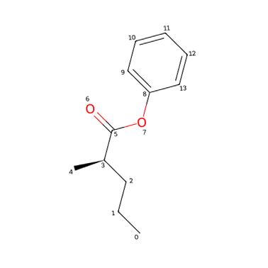 CCC[C@@H](C)C(=O)Oc1ccccc1